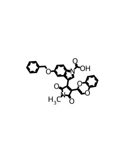 CN1C(=O)C(C2=COc3ccccc3O2)=C(c2cn(C(=O)O)c3ccc(OCc4ccccc4)cc23)C1=O